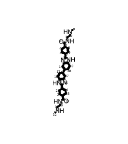 CNCCNC(=O)c1ccc(-c2nc3cc(-c4ccc5[nH]c(-c6ccc(C(=O)NCCNC)cc6)nc5c4)ccc3[nH]2)cc1